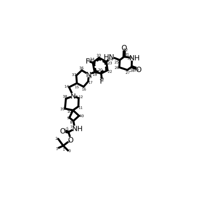 CC(C)(C)OC(=O)NC1CC2(CCN(CC3CCN(c4c(F)cc(NC5CCC(=O)NC5=O)cc4F)CC3)CC2)C1